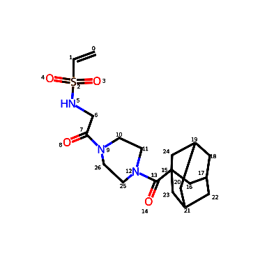 C=CS(=O)(=O)NCC(=O)N1CCN(C(=O)C23CC4CC(CC(C4)C2)C3)CC1